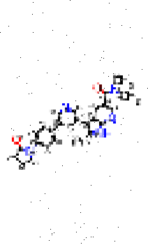 CC(C)c1[nH]c2ncc(C(=O)N(C)C)cc2c1-c1cncc(-c2ccc(N3CCCC3=O)cc2)c1